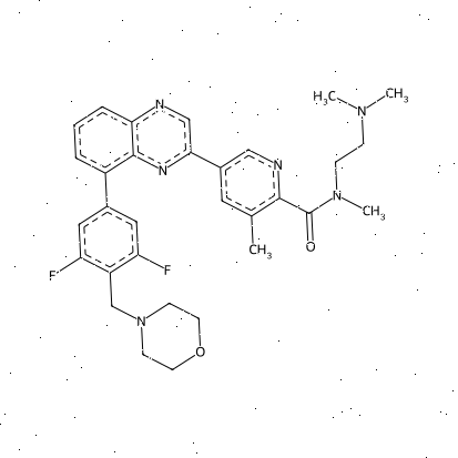 Cc1cc(-c2cnc3cccc(-c4cc(F)c(CN5CCOCC5)c(F)c4)c3n2)cnc1C(=O)N(C)CCN(C)C